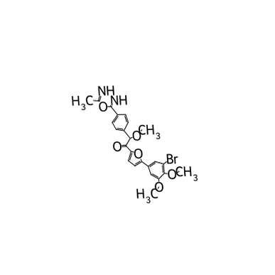 COc1cc(-c2ccc(C(=O)C(OC)c3ccc(C(=N)OC(C)=N)cc3)o2)cc(Br)c1OC